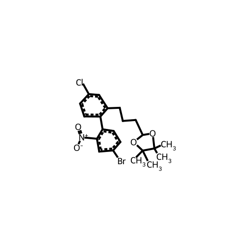 CC1(C)OC(CCCc2cc(Cl)ccc2-c2ccc(Br)cc2[N+](=O)[O-])OC1(C)C